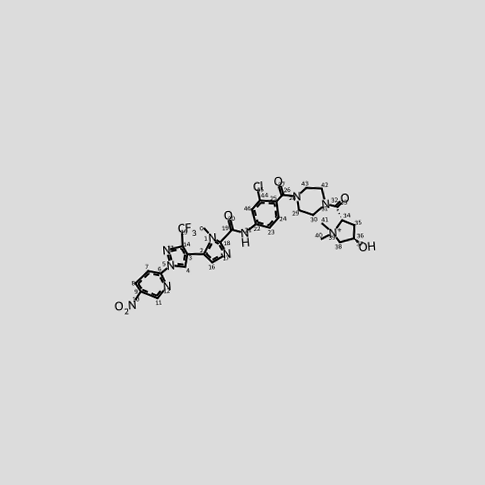 Cn1c(-c2cn(-c3ccc([N+](=O)[O-])cn3)nc2C(F)(F)F)cnc1C(=O)Nc1ccc(C(=O)N2CCN(C(=O)[C@@H]3C[C@@H](O)C[N+]3(C)C)CC2)c(Cl)c1